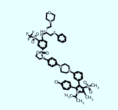 Cc1c(S(C)(=O)=O)c(-c2cccc(N3CCN(c4ccc(N5CCO[P@]5(=O)c5ccc(N[C@H](CCN6CCOCC6)CSc6ccccc6)c(S(=O)(=O)C(F)(F)F)c5)cc4)CC3)c2)c(-c2ccc(Cl)cc2)n1C(C)C